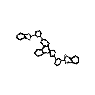 c1cc(-c2ccc3c4ccc(-c5cccc(-c6nc7ccccc7s6)n5)cc4c4ccccc4c3c2)cc(-c2nc3ccccc3o2)c1